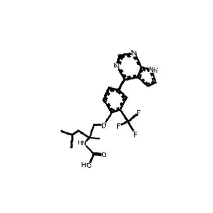 CC(C)CC(C)(COc1ccc(-c2ncnc3[nH]ccc23)cc1C(F)(F)F)NC(=O)O